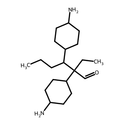 CCCC(C1CCC(N)CC1)C(C=O)(CC)C1CCC(N)CC1